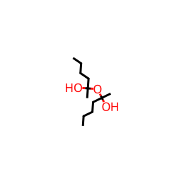 CCCCC(C)(O)OC(C)(O)CCCC